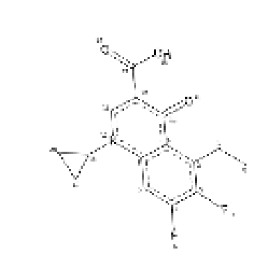 CCc1c(F)c(F)cc2c1c(=O)c(C(=O)O)cn2C1CC1